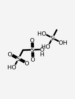 C[Si](O)(O)O.O=S(=O)(O)CS(=O)(=O)O